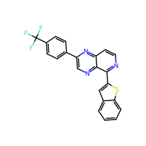 FC(F)(F)c1ccc(-c2cnc3c(-c4cc5ccccc5s4)nccc3n2)cc1